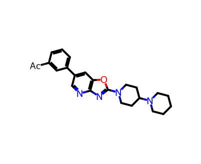 CC(=O)c1cccc(-c2cnc3nc(N4CCC(N5CCCCC5)CC4)oc3c2)c1